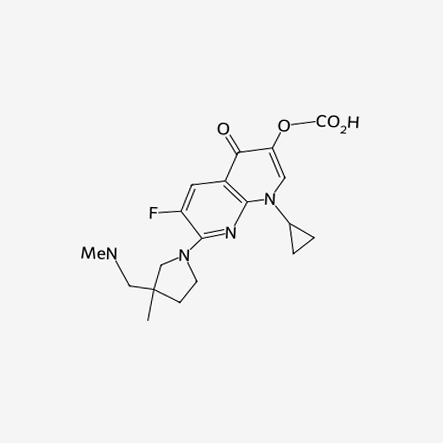 CNCC1(C)CCN(c2nc3c(cc2F)c(=O)c(OC(=O)O)cn3C2CC2)C1